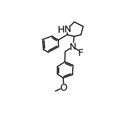 COc1ccc(CN(F)C2CCCNC2c2ccccc2)cc1